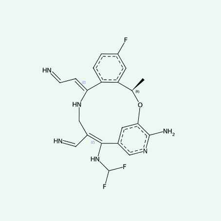 C[C@H]1Oc2cc(cnc2N)/C(NC(F)F)=C(/C=N)CN/C(=C\C=N)c2ccc(F)cc21